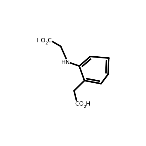 O=C(O)CNc1ccccc1CC(=O)O